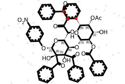 CC(=O)O[C@@H]1[C@H](O)[C@@H](OC(=O)c2ccccc2)[C@H](O[C@@H]2[C@@H](C(O)C(=O)c3ccccc3)O[C@@H](Oc3ccc([N+](=O)[O-])cc3)[C@@](O)(C(=O)c3ccccc3)[C@]2(O)C(=O)c2ccccc2)O[C@@H]1COC(=O)c1ccccc1